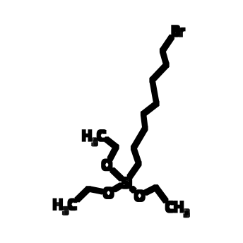 CCO[Si](CCCCCCCCBr)(OCC)OCC